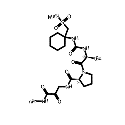 CCCNC(=O)C(=O)CNC(=O)[C@@H]1CCCN1C(=O)[C@@H](NC(=O)NC1(CS(=O)(=O)NC)CCCCC1)C(C)(C)C